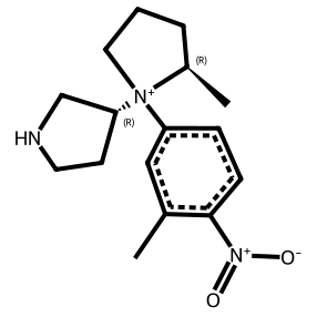 Cc1cc([N+]2([C@@H]3CCNC3)CCC[C@H]2C)ccc1[N+](=O)[O-]